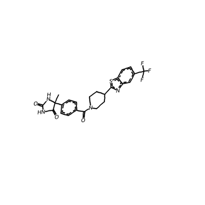 CC1(c2ccc(C(=O)N3CCC(c4nc5cc(C(F)(F)F)ccc5s4)CC3)cc2)NC(=O)NC1=O